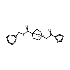 O=C(C[N+]12CCC(C(=O)SCc3ccccc3)(CC1)CC2)c1cccs1